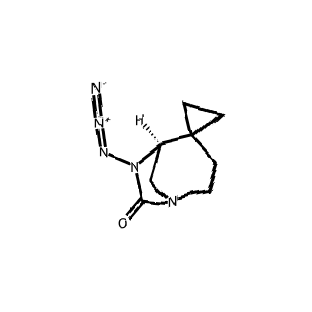 [N-]=[N+]=NN1C(=O)N2CCC3(CC3)[C@H]1C2